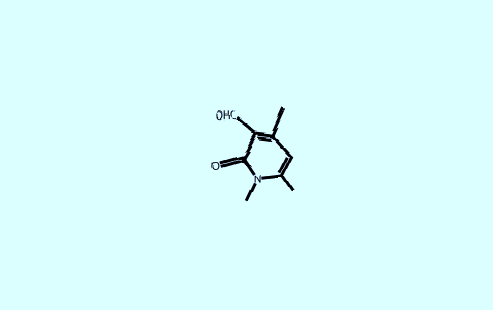 Cc1cc(C)n(C)c(=O)c1C=O